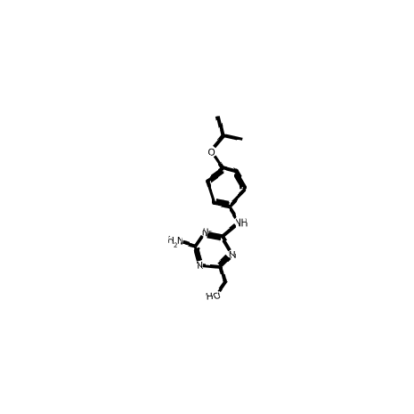 CC(C)Oc1ccc(Nc2nc(N)nc(CO)n2)cc1